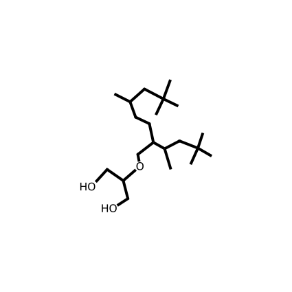 CC(CCC(COC(CO)CO)C(C)CC(C)(C)C)CC(C)(C)C